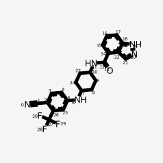 N#Cc1ccc(NC2CCC(NC(=O)c3cccc4[nH]ncc34)CC2)cc1C(F)(F)F